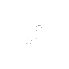 CC(=O)[C@H](Cc1ccc(Cl)cc1)c1ccc(Br)cc1